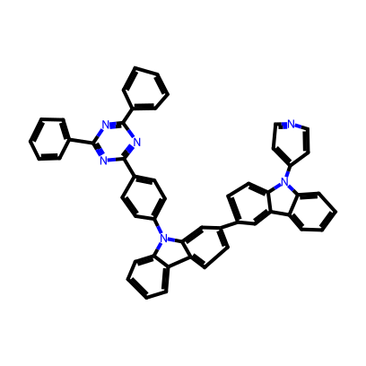 c1ccc(-c2nc(-c3ccccc3)nc(-c3ccc(-n4c5ccccc5c5ccc(-c6ccc7c(c6)c6ccccc6n7-c6ccncc6)cc54)cc3)n2)cc1